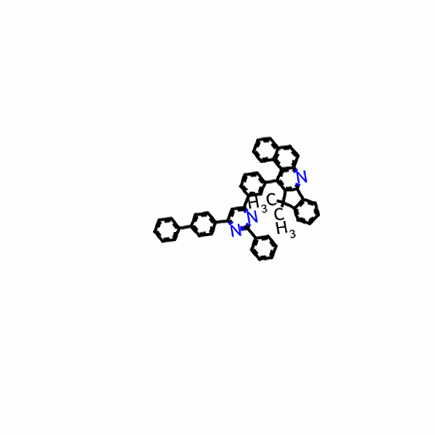 CC1(C)c2ccccc2-c2nc3ccc4ccccc4c3c(-c3cccc(-c4cc(-c5ccc(-c6ccccc6)cc5)nc(-c5ccccc5)n4)c3)c21